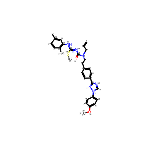 C=CCN(CCc1ccc(-c2ncn(-c3ccc(OC(F)(F)F)cc3)n2)cc1)C(=O)/N=C(/Nc1cc(C)ccc1C(C)C)SCC